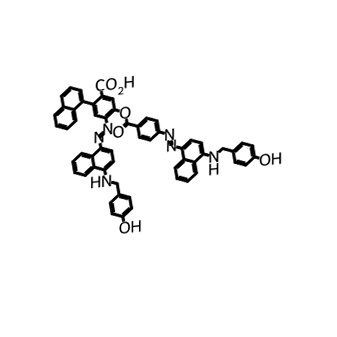 O=C(Oc1cc(C(=O)O)c(-c2cccc3ccccc23)cc1N=Nc1ccc(NCc2ccc(O)cc2)c2ccccc12)c1ccc(N=Nc2ccc(NCc3ccc(O)cc3)c3ccccc23)cc1